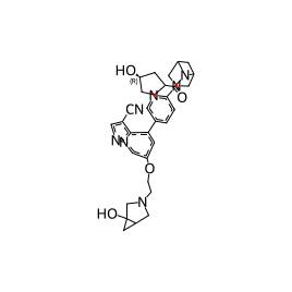 N#Cc1cnn2cc(OCCN3CC4CC4(O)C3)cc(-c3ccc(N4CC5CC(C4)N5C(=O)C4CC[C@@H](O)C4)nc3)c12